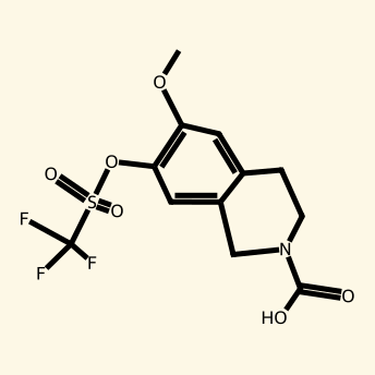 COc1cc2c(cc1OS(=O)(=O)C(F)(F)F)CN(C(=O)O)CC2